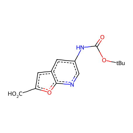 CC(C)(C)OC(=O)Nc1cnc2oc(C(=O)O)cc2c1